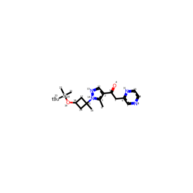 Cc1c(C(=O)Cc2cnccn2)cnn1C1(C)CC(O[Si](C)(C)C(C)(C)C)C1